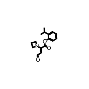 CC(C)c1ccccc1OC(=O)C(=CC=O)N1CCC1